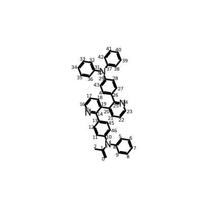 C=C(C)N(c1ccccc1)c1ccc(-c2ncccc2-c2cccnc2-c2ccc(N(c3ccccc3)c3ccccc3)cc2)cc1